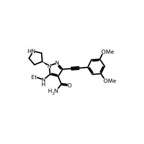 CCNc1c(C(N)=O)c(C#Cc2cc(OC)cc(OC)c2)nn1[C@H]1CCNC1